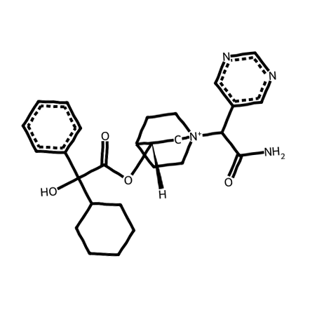 NC(=O)C(c1cncnc1)[N+]12CCC(CC1)[C@@H](OC(=O)C(O)(c1ccccc1)C1CCCCC1)C2